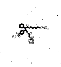 CC(C)(C)OC(=O)NCC(=O)OC/C(=C(\C(=O)OCCCCCCO[N+](=O)[O-])c1ccccc1)c1ccc(S(C)(=O)=O)cc1